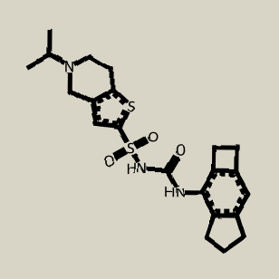 CC(C)N1CCc2sc(S(=O)(=O)NC(=O)Nc3c4c(cc5c3CC5)CCC4)cc2C1